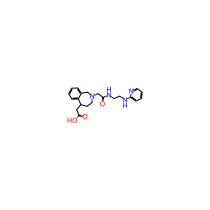 O=C(O)CC1CCN(CC(=O)NCCNc2ccccn2)Cc2ccccc21